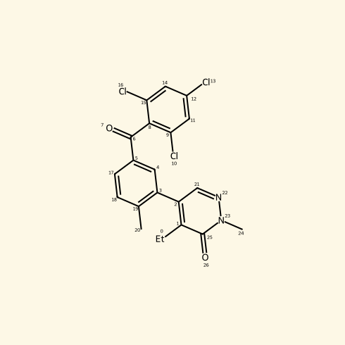 CCc1c(-c2cc(C(=O)c3c(Cl)cc(Cl)cc3Cl)ccc2C)cnn(C)c1=O